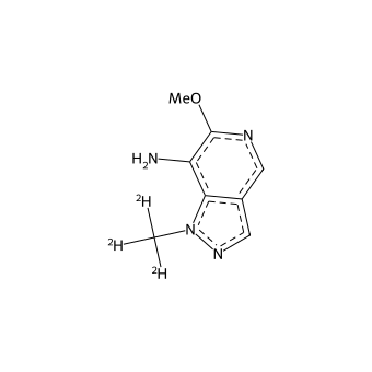 [2H]C([2H])([2H])n1ncc2cnc(OC)c(N)c21